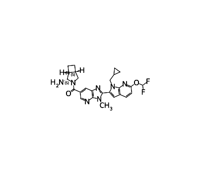 Cn1c(-c2cc3ccc(OC(F)F)nc3n2CC2CC2)nc2cc(C(=O)N3C[C@H]4CC[C@H]4[C@H]3N)cnc21